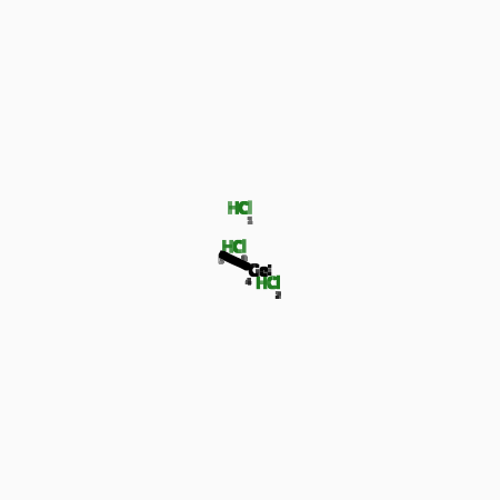 Cl.Cl.Cl.[CH3][Ge]